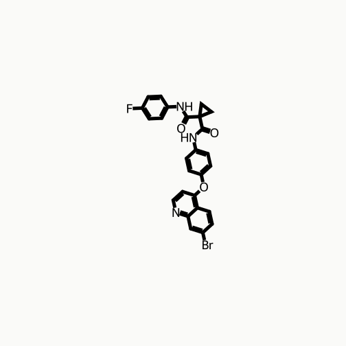 O=C(Nc1ccc(F)cc1)C1(C(=O)Nc2ccc(Oc3ccnc4cc(Br)ccc34)cc2)CC1